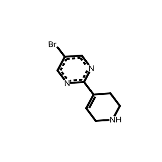 Brc1cnc(C2=CCNCC2)nc1